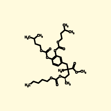 CCCCCOC(=O)O[C@@H](C)CC(N)(Cc1ccc(OC(=O)OCCC(C)C)c(OC(=O)OCCC(C)C)c1)C(=O)OC